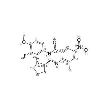 COc1ccc(-n2c([C@H]3CCCN3)nc3c(C)cc([N+](=O)[O-])cc3c2=O)cc1F